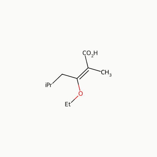 CCO/C(CC(C)C)=C(\C)C(=O)O